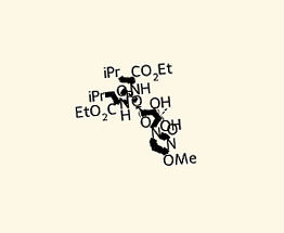 CCOC(=O)[C@H](CC(C)C)NP(=O)(N[C@@H](CC(C)C)C(=O)OCC)OC[C@H]1OC(n2ccc(OC)nc2=O)[C@](C)(O)[C@@H]1O